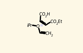 C=COC(C)C.CCOC(=O)/C=C\C(=O)O